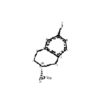 CCCCCC[C@@H]1CCc2cc(I)ccc2C1